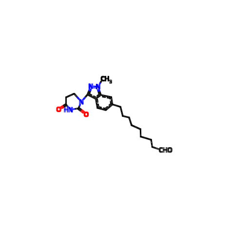 Cn1nc(N2CCC(=O)NC2=O)c2ccc(CCCCCCCCC=O)cc21